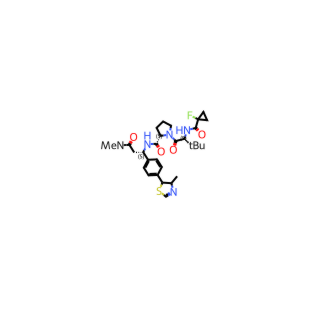 CNC(=O)C[C@H](NC(=O)[C@@H]1CCCN1C(=O)[C@@H](NC(=O)C1(F)CC1)C(C)(C)C)c1ccc(C2SC=NC2C)cc1